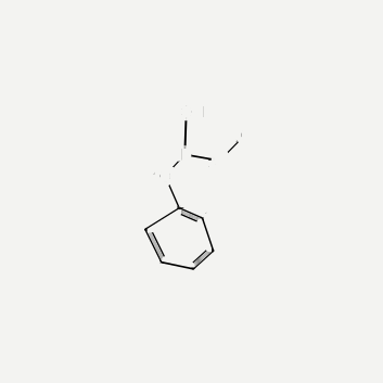 OP(OCl)Oc1ccccc1